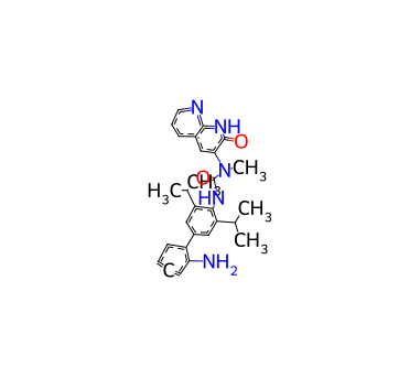 CC(C)c1cc(-c2ccccc2N)cc(C(C)C)c1NC(=O)N(C)c1cc2cccnc2[nH]c1=O